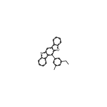 CCc1cc(C)cc(-c2c3oc4ccccc4c3cc3sc4ccccc4c23)c1